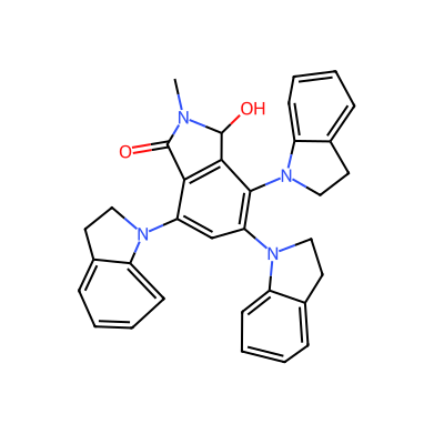 CN1C(=O)c2c(N3CCc4ccccc43)cc(N3CCc4ccccc43)c(N3CCc4ccccc43)c2C1O